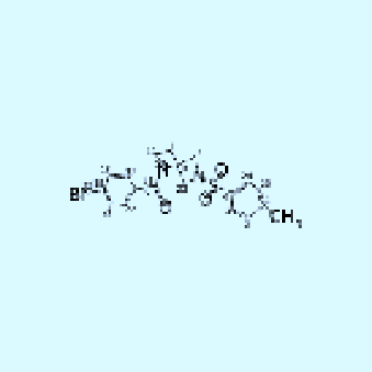 Cc1ccc(S(=O)(=O)N2CC3(CCN3C(=O)c3ccc(Br)cc3)C2)cc1